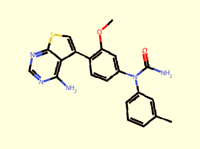 COc1cc(N(C(N)=O)c2cccc(C)c2)ccc1-c1csc2ncnc(N)c12